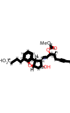 CC#CC[C@H](C)[C@@H](/C=C/[C@@H]1[C@H]2c3cccc(CCCC(=O)O)c3O[C@H]2C[C@H]1O)OC(=O)OC